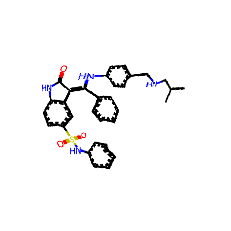 CC(C)CNCc1ccc(N/C(=C2\C(=O)Nc3ccc(S(=O)(=O)Nc4ccccc4)cc32)c2ccccc2)cc1